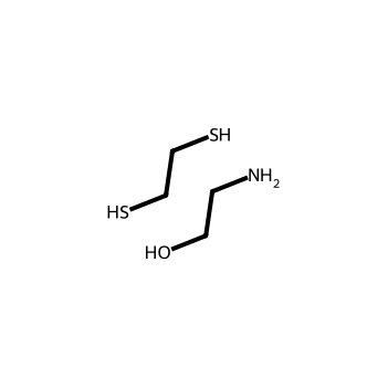 NCCO.SCCS